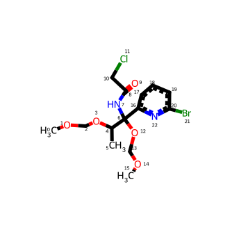 COCOC(C)C(NC(=O)CCl)(OCOC)c1cccc(Br)n1